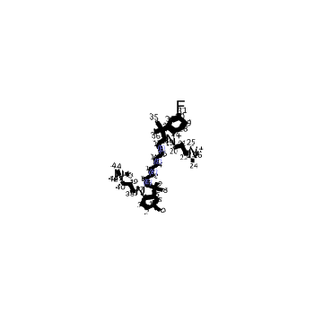 Cc1ccc2c(c1)C(C)(C)\C(=C/C=C/C=C/C=C/C1=[N+](CCC[N+](C)(C)C)c3ccc(F)cc3C1(C)C)N2CCC[N+](C)(C)C